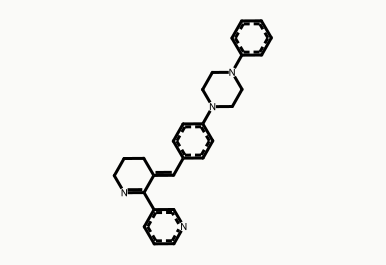 C(=C1/CCCN=C1c1cccnc1)/c1ccc(N2CCN(c3ccccc3)CC2)cc1